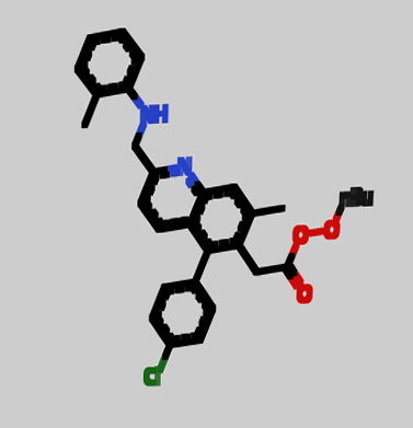 CCCCOOC(=O)Cc1c(C)cc2nc(CNc3ccccc3C)ccc2c1-c1ccc(Cl)cc1